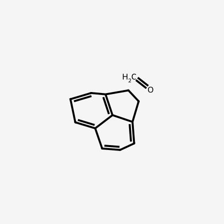 C=O.c1cc2c3c(cccc3c1)CC2